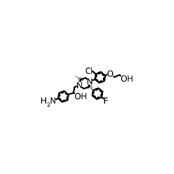 C[C@@H]1CN(c2ccc(OCCO)cc2Cl)[C@H](c2ccc(F)cc2)CN1CC(O)c1ccc(N)cc1